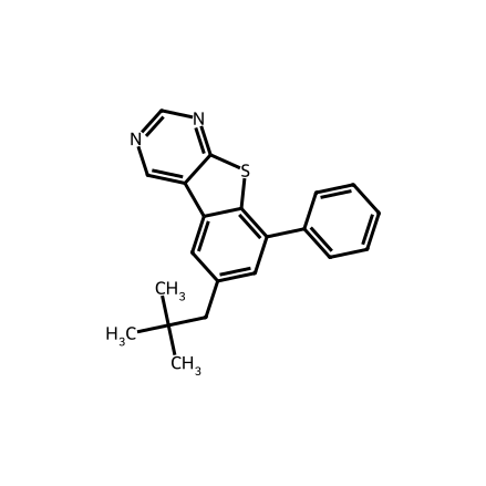 CC(C)(C)Cc1cc(-c2ccccc2)c2sc3ncncc3c2c1